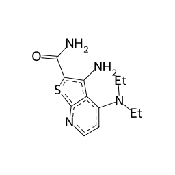 CCN(CC)c1ccnc2sc(C(N)=O)c(N)c12